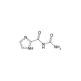 NC(=O)NC(=O)c1ncc[nH]1